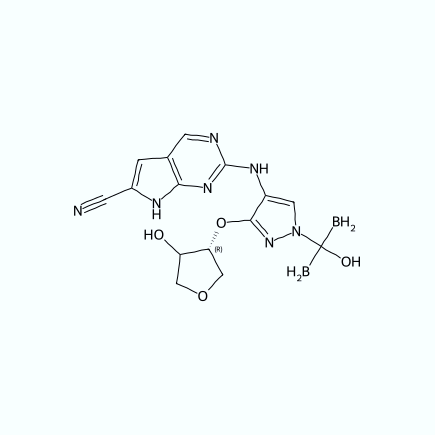 BC(B)(O)n1cc(Nc2ncc3cc(C#N)[nH]c3n2)c(O[C@@H]2COCC2O)n1